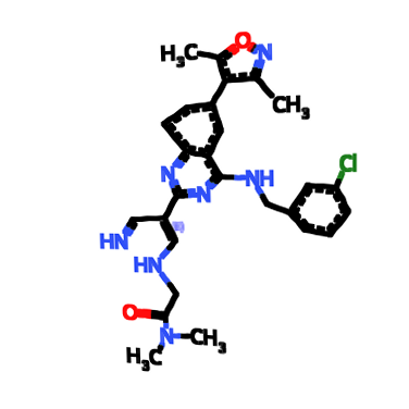 Cc1noc(C)c1-c1ccc2nc(/C(C=N)=C/NCC(=O)N(C)C)nc(NCc3cccc(Cl)c3)c2c1